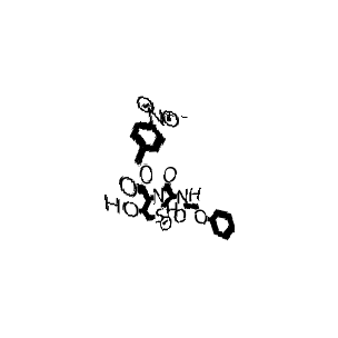 O=C(COc1ccccc1)NC1C(=O)N2C(C(=O)OCc3ccc([N+](=O)[O-])cc3)=C(O)C[S+]([O-])[C@@H]12